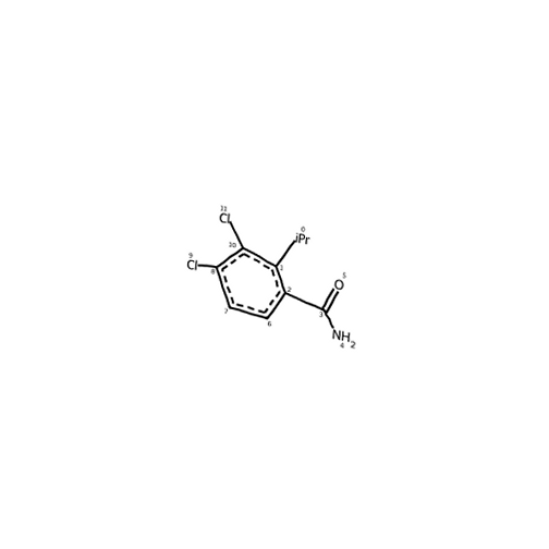 CC(C)c1c(C(N)=O)ccc(Cl)c1Cl